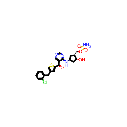 NS(=O)(=O)OC[C@H]1C[C@@H](Nc2ncncc2C(=O)c2cc(Cc3ccccc3Cl)cs2)C[C@@H]1O